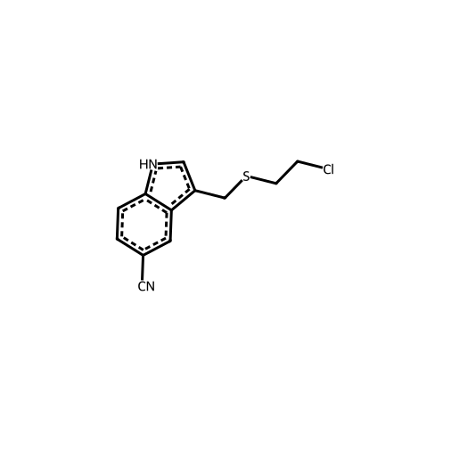 N#Cc1ccc2[nH]cc(CSCCCl)c2c1